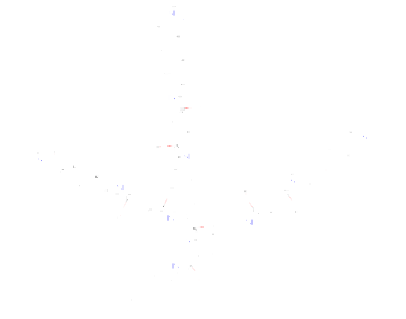 CCOCCNC(=O)C(CCCCNC(=O)CCC(=O)NCCOCCON)NC(=O)C(CCCCNC(=O)CCC(=O)NCCOCCON)NC(=O)CCC(=O)NCCOCCON